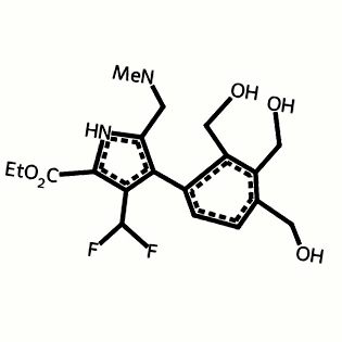 CCOC(=O)c1[nH]c(CNC)c(-c2ccc(CO)c(CO)c2CO)c1C(F)F